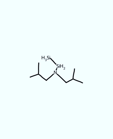 CC(C)CN(CC(C)C)[SiH2][SiH3]